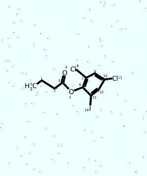 CC[CH]C(=O)Oc1c(Cl)cc(Cl)cc1I